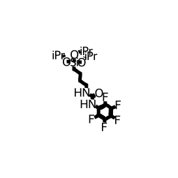 CC(C)O[Si](CCCCNC(=O)Nc1c(F)c(F)c(F)c(F)c1F)(OC(C)C)OC(C)C